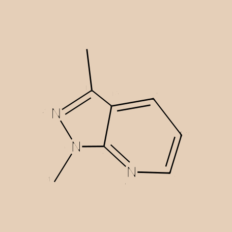 Cc1nn(C)c2nc[c]cc12